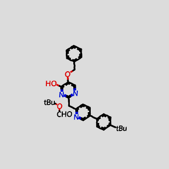 CC(C)(C)OC=O.CC(C)(C)c1ccc(-c2ccc(Cc3ncc(OCc4ccccc4)c(O)n3)nc2)cc1